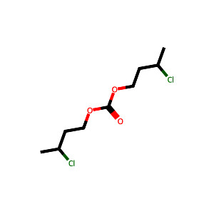 CC(Cl)CCOC(=O)OCCC(C)Cl